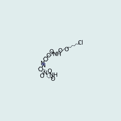 O=C(COc1ccc(/N=N/c2cccc3c2CN(C2CCC(=O)NC2=O)C3=O)cc1)NCCOCCOCCCCCCCl